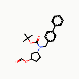 CC(C)(C)OC(=O)N(Cc1ccc(-c2ccccc2)cc1)[C@H]1CC[C@@H](OC=O)C1